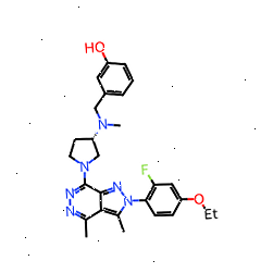 CCOc1ccc(-n2nc3c(N4CC[C@H](N(C)Cc5cccc(O)c5)C4)nnc(C)c3c2C)c(F)c1